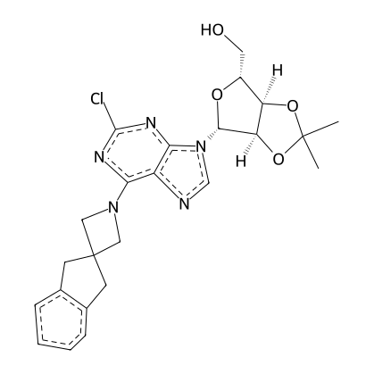 CC1(C)O[C@@H]2[C@H](O1)[C@@H](CO)O[C@H]2n1cnc2c(N3CC4(Cc5ccccc5C4)C3)nc(Cl)nc21